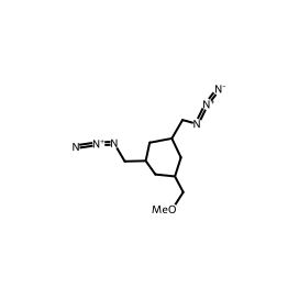 COCC1CC(CN=[N+]=[N-])CC(CN=[N+]=[N-])C1